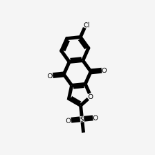 CS(=O)(=O)c1cc2c(o1)C(=O)c1cc(Cl)ccc1C2=O